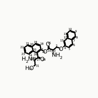 N[C@@H](COc1ccc2ccccc2c1)C(=O)Oc1ccc2ccccc2c1C(=O)[C@@H](N)CO